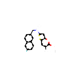 CN(Cc1ccc2cc(F)ccc2c1)c1cc2oc(=O)c(C(=O)O)cc2s1